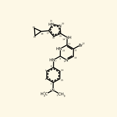 CN(C)c1ccc(NC2N=CC(Br)=C(Nc3cc(C4CC4)[nH]n3)N2)cc1